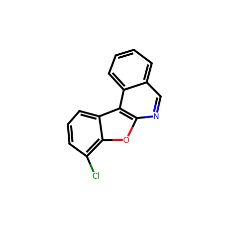 Clc1cccc2c1oc1ncc3ccccc3c12